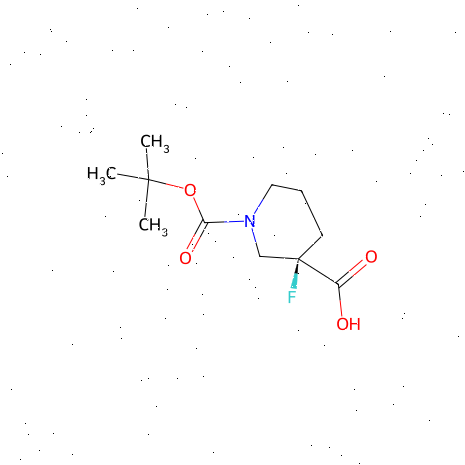 CC(C)(C)OC(=O)N1CCC[C@](F)(C(=O)O)C1